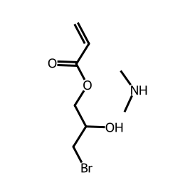 C=CC(=O)OCC(O)CBr.CNC